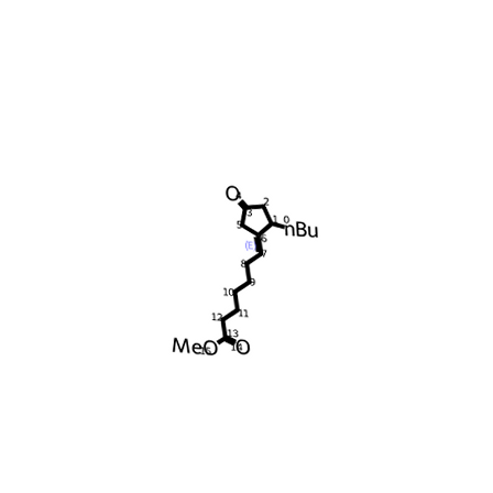 CCCCC1CC(=O)C/C1=C\CCCCCC(=O)OC